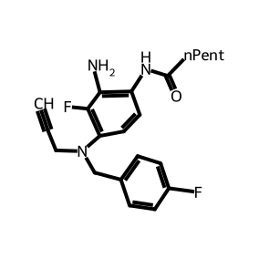 C#CCN(Cc1ccc(F)cc1)c1ccc(NC(=O)CCCCC)c(N)c1F